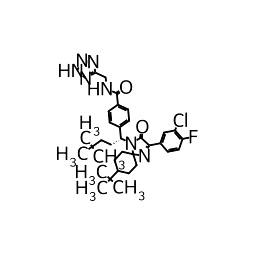 CC(C)(C)CC[C@H](c1ccc(C(=O)NCc2nn[nH]n2)cc1)N1C(=O)C(c2ccc(F)c(Cl)c2)=NC12CCC(C(C)(C)C)CC2